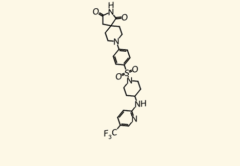 O=C1CC2(CCN(c3ccc(S(=O)(=O)N4CCC(Nc5ccc(C(F)(F)F)cn5)CC4)cc3)CC2)C(=O)N1